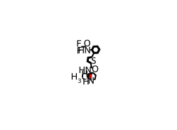 C[C@H]1[C@H](NC(=O)c2ccc(-c3ccccc3NC(=O)C(F)F)s2)C2CCN1CC2